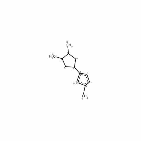 Cc1ccc(C2CC(C)C(C)C2)s1